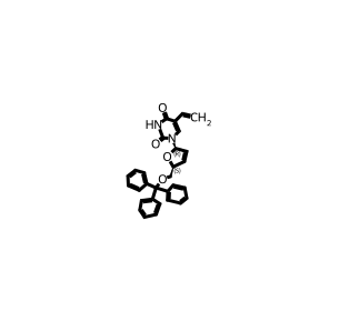 C=Cc1cn([C@H]2C=C[C@@H](COC(c3ccccc3)(c3ccccc3)c3ccccc3)O2)c(=O)[nH]c1=O